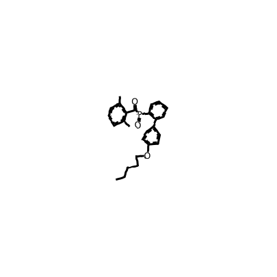 CCCCCOc1ccc(-c2ccccc2[P](=O)C(=O)c2c(C)cccc2C)cc1